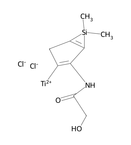 C[Si]1(C)C2=C1C(NC(=O)CO)=[C]([Ti+2])C2.[Cl-].[Cl-]